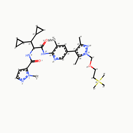 CCn1nccc1C(=O)NC(C(=O)Nc1ncc(-c2c(C)nn(COCCS(C)(C)C)c2C)cc1OC)C(C1CC1)C1CC1